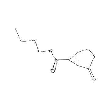 CCCCOC(=O)C1C2CCC(=O)C21